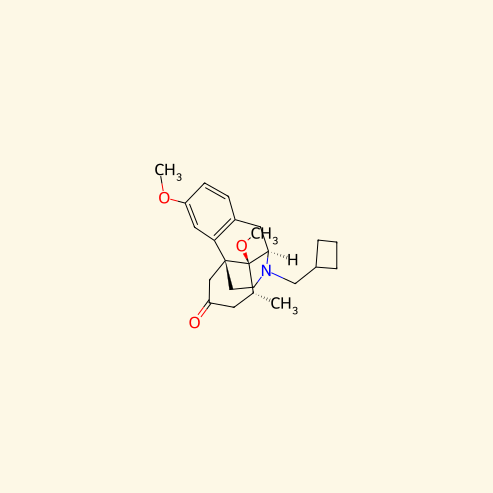 COc1ccc2c(c1)[C@]13CCN(CC4CCC4)[C@H](C2)[C@]1(OC)[C@H](C)CC(=O)C3